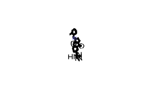 Cc1ccccc1/C=C1\CCc2c1oc1ccc(-c3nnn[nH]3)cc1c2=O